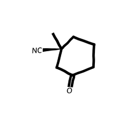 C[C@]1(C#N)CCCC(=O)C1